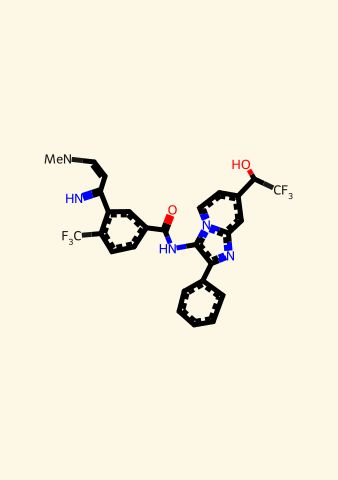 CN/C=C\C(=N)c1cc(C(=O)Nc2c(-c3ccccc3)nc3cc(C(O)C(F)(F)F)ccn23)ccc1C(F)(F)F